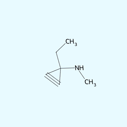 CCC1(NC)C#C1